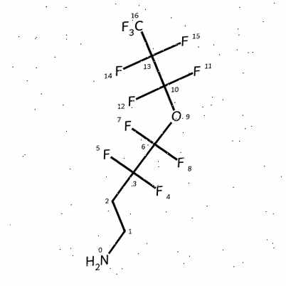 NCCC(F)(F)C(F)(F)OC(F)(F)C(F)(F)C(F)(F)F